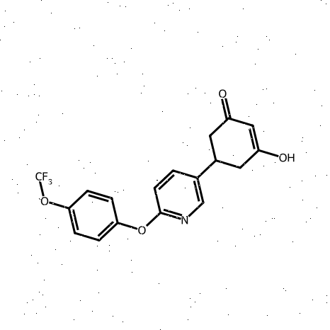 O=C1C=C(O)CC(c2ccc(Oc3ccc(OC(F)(F)F)cc3)nc2)C1